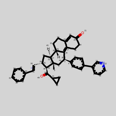 C[C@]12C[C@H](c3ccc(-c4cccnc4)cc3)C3=C4CCC(=O)C=C4CC[C@H]3[C@@H]1C[C@@H](/C=C/c1ccccc1)[C@@H]2C(=O)C1CC1